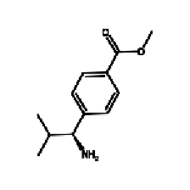 COC(=O)c1ccc([C@@H](N)C(C)C)cc1